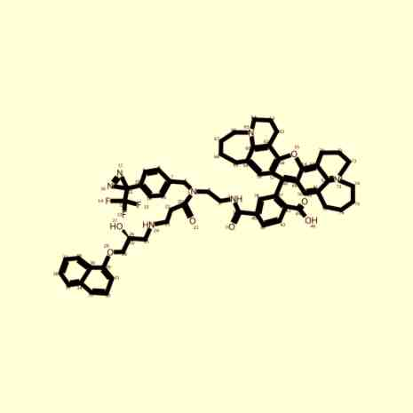 O=C(NCCN(Cc1ccc(C2(C(F)(F)F)N=N2)cc1)C(=O)CCNC[C@H](O)COc1cccc2ccccc12)c1ccc(C(=O)O)c(C2=c3cc4c5c(c3Oc3c2cc2c6c3CCCN6CCCC2)CCC[N+]=5CCCC4)c1